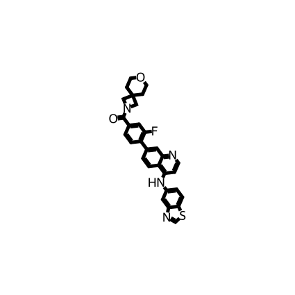 O=C(c1ccc(-c2ccc3c(Nc4ccc5scnc5c4)ccnc3c2)c(F)c1)N1CC2(CCOCC2)C1